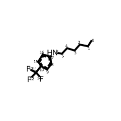 CCCCCCNc1ccc(C(F)(F)F)cc1